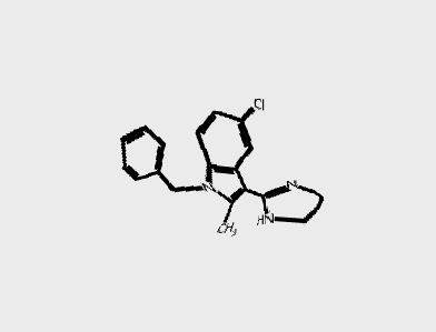 Cc1c(C2=NCCN2)c2cc(Cl)ccc2n1Cc1ccccc1